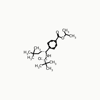 CC(C)OC(=O)c1ccc([C@@H](CCC(C)(C)C)N[S@@+]([O-])C(C)(C)C)cc1